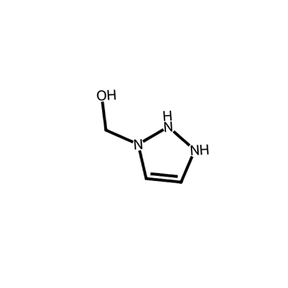 OCN1C=CNN1